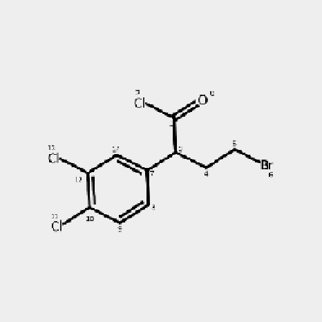 O=C(Cl)C(CCBr)c1ccc(Cl)c(Cl)c1